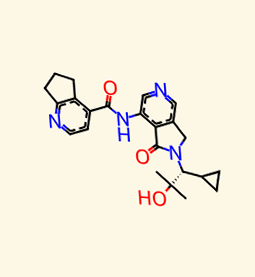 CC(C)(O)[C@@H](C1CC1)N1Cc2cncc(NC(=O)c3ccnc4c3CCC4)c2C1=O